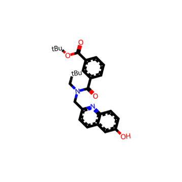 CC(C)(C)CN(Cc1ccc2cc(O)ccc2n1)C(=O)c1cccc(C(=O)OC(C)(C)C)c1